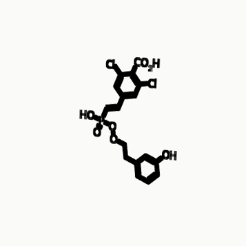 O=C(O)c1c(Cl)cc(/C=C/P(=O)(O)OOCCc2cccc(O)c2)cc1Cl